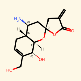 C=C1C[C@@]2(C[C@H](N)[C@H]3CC=C(CO)[C@@H](O)[C@@H]3O2)OC1=O